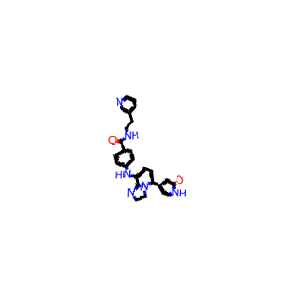 O=C(NCCc1cccnc1)c1ccc(NC2=CC=C(c3cc[nH]c(=O)c3)N3CCN=C23)cc1